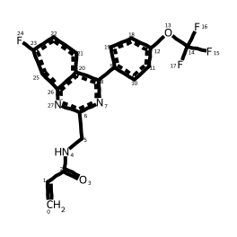 C=CC(=O)NCc1nc(-c2ccc(OC(F)(F)F)cc2)c2ccc(F)cc2n1